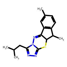 Cc1ccc2c(c1)C1=Nn3c(CC(C)C)nnc3SC1C2C